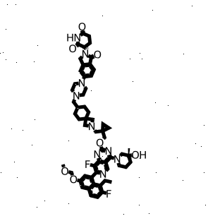 CCc1c(F)ccc2cc(OCOC)cc(-c3ncc4c(N5CCC[C@@](C)(O)C5)nc(OCC5(CN6CC7(CCC(CN8CCN(c9ccc%10c(c9)CN([C@H]9CCC(=O)NC9=O)C%10=O)CC8)CC7)C6)CC5)nc4c3F)c12